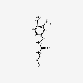 O=C(NCCI)NCc1ccc(CO)c([N+](=O)[O-])c1